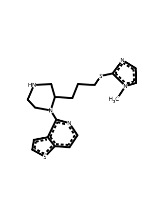 Cn1ccnc1SCCCC1CNCCN1c1nccc2sccc12